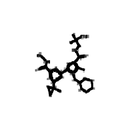 Cc1c(C(=O)NCC(C)(C)C(=O)O)cc(-c2cc(C(=O)NC(C)(C)C)cc(C3(C)CC3)c2)n1CC1CCCCC1